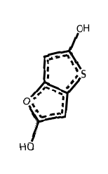 Oc1cc2sc(O)cc2o1